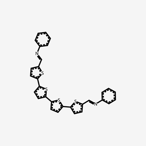 C(=N\c1ccccc1)/c1ccc(-c2ccc(-c3ccc(-c4ccc(/C=N/c5ccccc5)s4)s3)s2)s1